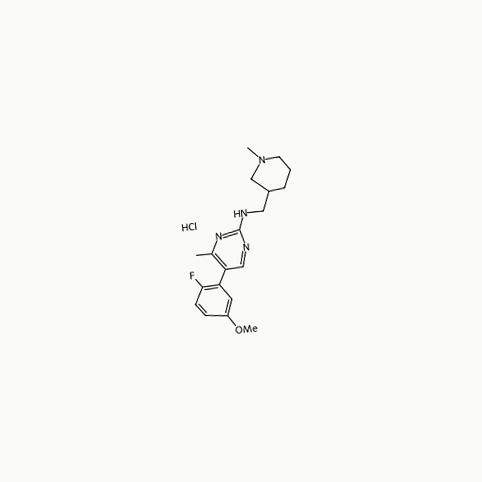 COc1ccc(F)c(-c2cnc(NCC3CCCN(C)C3)nc2C)c1.Cl